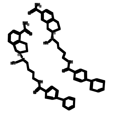 CCCN(CCCCNC(=O)c1ccc(-c2ccccc2)cc1)[C@@H]1CCc2ccc(C(N)=O)cc2C1.CCCN(CCCCNC(=O)c1ccc(-c2ccccc2)cc1)[C@H]1CCc2c(cccc2C(N)=O)C1